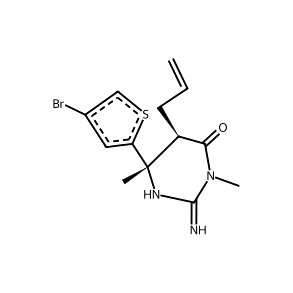 C=CC[C@H]1C(=O)N(C)C(=N)N[C@]1(C)c1cc(Br)cs1